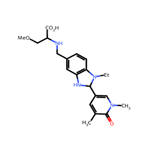 CCN1c2ccc(CNC(COC)C(=O)O)cc2NC1c1cc(C)c(=O)n(C)c1